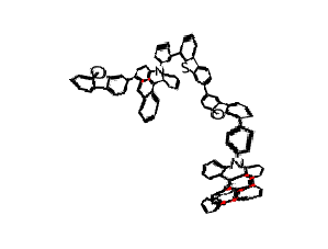 c1cc(-c2cccc3c2sc2ccccc23)cc(N(c2ccc(-c3cccc4c3oc3ccc(-c5ccc6c(c5)sc5c(-c7cccc(N(c8ccc(-c9ccc%10c(c9)oc9ccccc9%10)cc8)c8ccccc8-c8cccc9ccccc89)c7)cccc56)cc34)cc2)c2ccccc2-c2cccc3ccccc23)c1